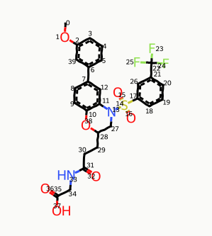 COc1cccc(-c2ccc3c(c2)N(S(=O)(=O)c2cccc(C(F)(F)F)c2)CC(CCC(=O)NCC(=O)O)O3)c1